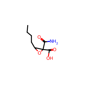 CCCCC1OC1(C(N)=O)C(=O)O